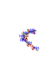 CCNC(=O)COCC(=O)NCC(=O)NN(C)C(=O)NC(C)(C)CC(=O)NCC(=O)NCC(=O)NC